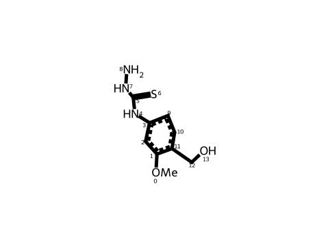 COc1cc(NC(=S)NN)ccc1CO